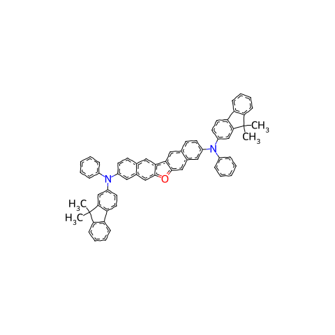 CC1(C)c2ccccc2-c2ccc(N(c3ccccc3)c3ccc4cc5c(cc4c3)oc3cc4cc(N(c6ccccc6)c6ccc7c(c6)C(C)(C)c6ccccc6-7)ccc4cc35)cc21